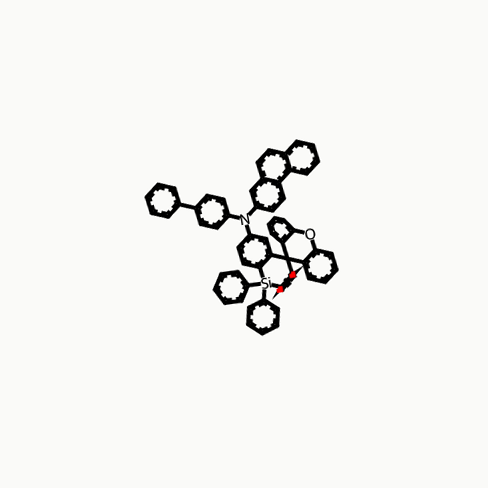 c1ccc(-c2ccc(N(c3ccc4c(c3)C3(c5ccccc5Oc5ccccc53)c3ccccc3[Si]4(c3ccccc3)c3ccccc3)c3ccc4c(ccc5ccccc54)c3)cc2)cc1